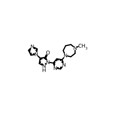 CN1CCCN(c2cc(-n3[nH]cc(-n4ccnc4)c3=O)ncn2)CC1